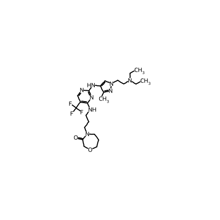 CCN(CC)CCn1cc(Nc2ncc(C(F)(F)F)c(NCCCN3CCCOCC3=O)n2)c(C)n1